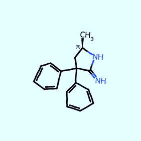 C[C@@H]1CC(c2ccccc2)(c2ccccc2)C(=N)N1